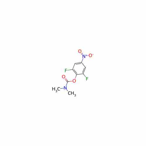 CN(C)C(=O)Oc1c(F)cc([N+](=O)[O-])cc1F